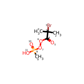 CC(C)(Br)C(=O)OOP(C)(=O)O